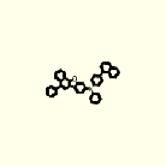 c1ccc(-c2cc3c4ccc(N(c5ccccc5)c5ccc(-c6cccc7ccccc67)cc5)cc4oc3c3ccccc23)cc1